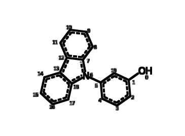 Oc1cccc(-n2c3ccccc3c3ccccc32)c1